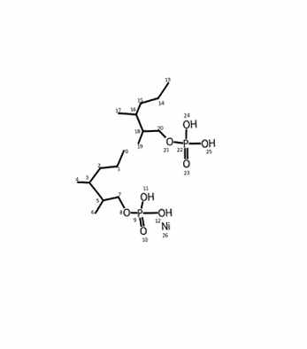 CCCC(C)C(C)COP(=O)(O)O.CCCC(C)C(C)COP(=O)(O)O.[Ni]